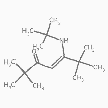 CC(C)(C)N/C(=C\C(=O)C(C)(C)C)C(C)(C)C